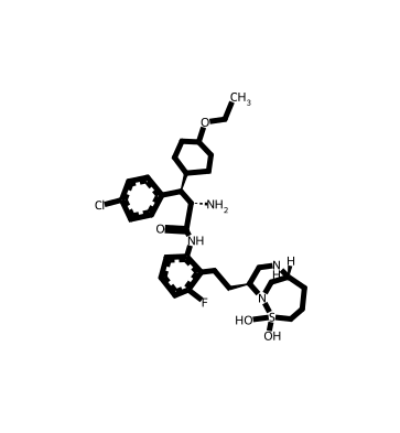 CCOC1CCC([C@H](c2ccc(Cl)cc2)[C@H](N)C(=O)Nc2cccc(F)c2CC[C@H]2CN[C@@H]3CCCS(O)(O)N2C3)CC1